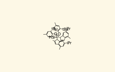 CC1=Cc2c(C)cc(C(C)C)cc2[CH]1[Zr]([O]c1ccc(C)cc1C(C)(C)C)([O]c1ccc(C)cc1C(C)(C)C)([CH]1C(C)=Cc2c(C)cc(C(C)C)cc21)[SiH](C)C